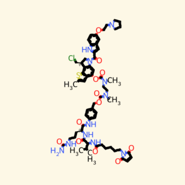 Cc1cc2c(OC(=O)N(C)CCN(C)C(=O)OCc3ccc(NC(=O)[C@H](CCCNC(N)=O)NC(=O)C(NC(=O)CCCCCN4C(=O)C=CC4=O)C(C)C)cc3)cc3c(c2s1)[C@@H](CCl)CN3C(=O)c1cc2cc(OCCN3CCCC3)ccc2[nH]1